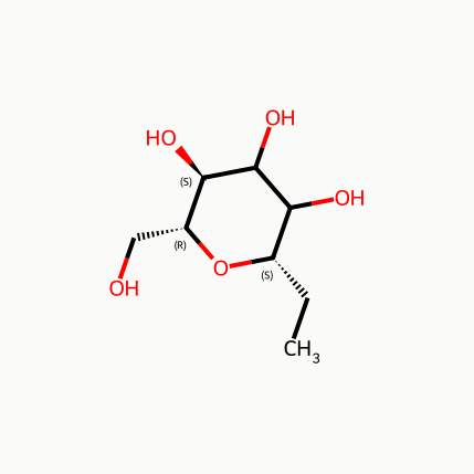 CC[C@@H]1O[C@H](CO)[C@@H](O)C(O)C1O